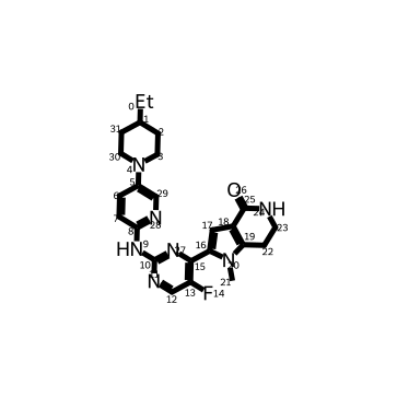 CCC1CCN(c2ccc(Nc3ncc(F)c(-c4cc5c(n4C)CCNC5=O)n3)nc2)CC1